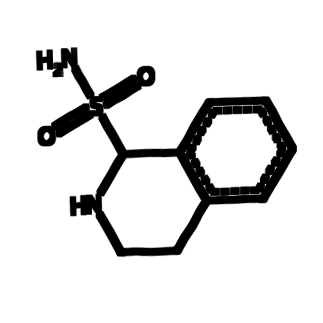 NS(=O)(=O)C1NCCc2ccccc21